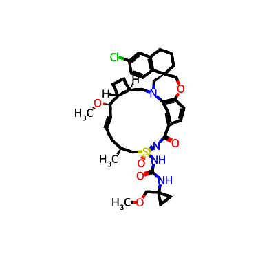 COCC1(NC(=O)NS2(=O)=NC(=O)c3ccc4c(c3)N(C[C@@H]3CC[C@H]3[C@@H](OC)/C=C/C[C@H](C)C2)C[C@@]2(CCCc3cc(Cl)ccc32)CO4)CC1